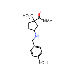 CCCCCCCCc1ccc(CNC2CCC(C(=O)O)(C(=O)NC)C2)cc1